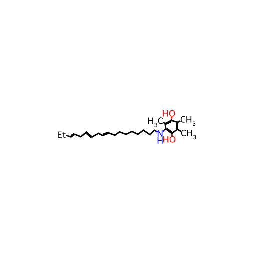 CCC=CCC=CCC=CCCCCCCCCNc1c(C)c(O)c(C)c(C)c1O